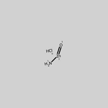 Cl.[NH2][Zn]=[O]